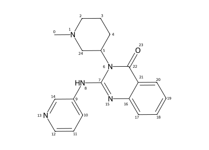 CN1CCCC(n2c(Nc3cccnc3)nc3ccccc3c2=O)C1